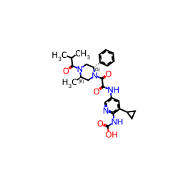 CC(C)C(=O)N1C[C@H](c2ccccc2)N(C(=O)C(=O)Nc2cnc(NC(=O)O)c(C3CC3)c2)C[C@H]1C